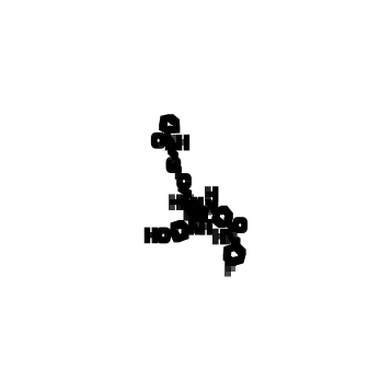 O=C(NCCOCCOCCNc1nc(Nc2ccc(O)cc2)nc(Nc2ccc(C(=O)NCc3ccc(F)cc3)cc2)n1)c1ccccc1